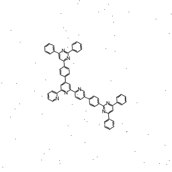 c1ccc(-c2cc(-c3ccc(-c4cc(-c5ccccn5)nc(-c5ccc(-c6ccc(-c7nc(-c8ccccc8)cc(-c8ccccc8)n7)cc6)cn5)c4)cc3)nc(-c3ccccc3)n2)cc1